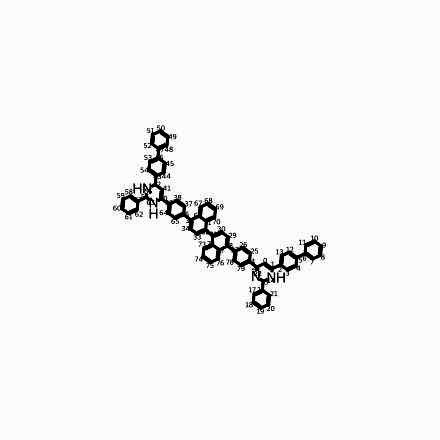 C1=C(c2ccc(-c3ccccc3)cc2)NC(c2ccccc2)N=C1c1ccc(-c2ccc(-c3ccc(-c4ccc(C5=CC(c6ccc(-c7ccccc7)cc6)NC(c6ccccc6)N5)cc4)c4ccccc34)c3ccccc23)cc1